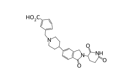 O=C1CCC(N2Cc3cc(C4CCN(Cc5cccc(C(=O)O)c5)CC4)ccc3C2=O)C(=O)N1